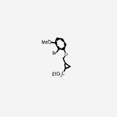 CCOC(=O)C1CC1COc1cccc(OC)c1Br